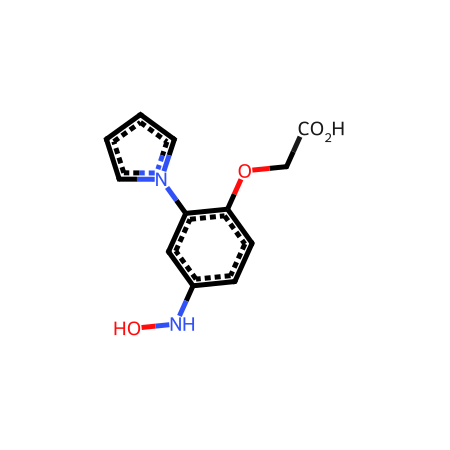 O=C(O)COc1ccc(NO)cc1-n1cccc1